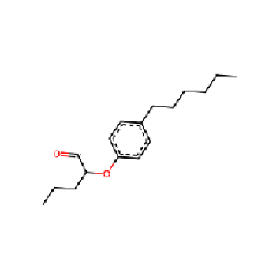 CCCCCCc1ccc(OC([C]=O)CCC)cc1